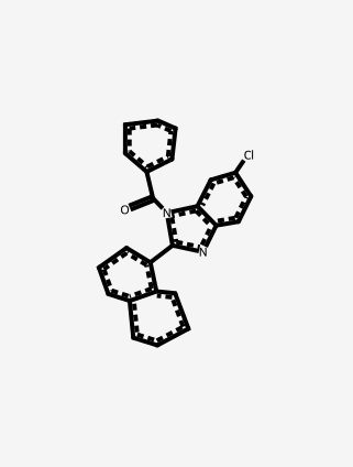 O=C(c1ccccc1)n1c(-c2cccc3ccccc23)nc2ccc(Cl)cc21